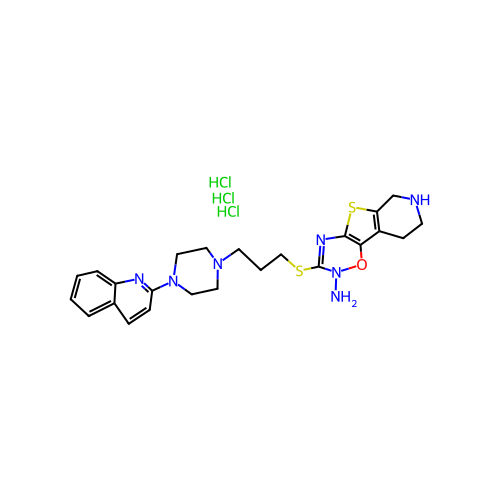 Cl.Cl.Cl.NN1Oc2c(sc3c2CCNC3)N=C1SCCCN1CCN(c2ccc3ccccc3n2)CC1